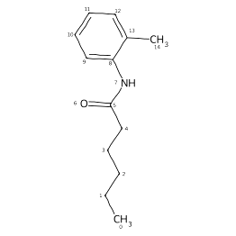 CCCCCC(=O)Nc1ccccc1C